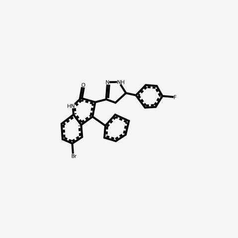 O=c1[nH]c2ccc(Br)cc2c(-c2ccccc2)c1C1=NNC(c2ccc(F)cc2)C1